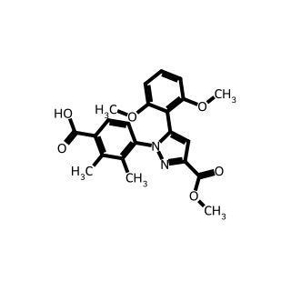 COC(=O)c1cc(-c2c(OC)cccc2OC)n(-c2ccc(C(=O)O)c(C)c2C)n1